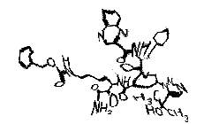 CC(C)(O)c1cnnn1[C@H]1C[C@@H](C(=O)NC(CCCCNC(=O)OCc2ccccc2)C(=O)C(N)=O)N(C(=O)[C@@H](CC2CCCCC2)NC(=O)c2cnc3ccccc3n2)C1